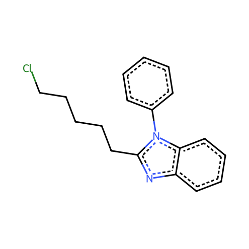 ClCCCCCc1nc2ccccc2n1-c1ccccc1